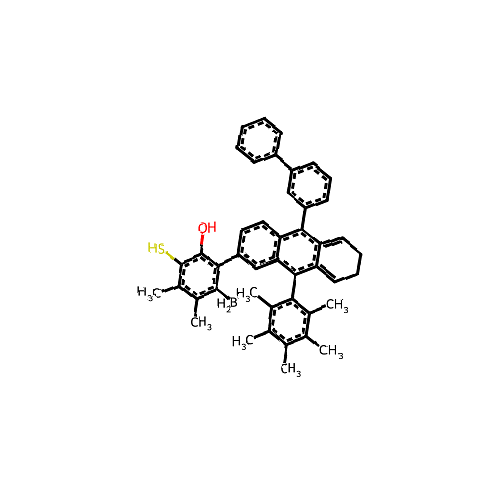 Bc1c(C)c(C)c(S)c(O)c1-c1ccc2c(-c3cccc(-c4ccccc4)c3)c3c(c(-c4c(C)c(C)c(C)c(C)c4C)c2c1)=CCCC=3